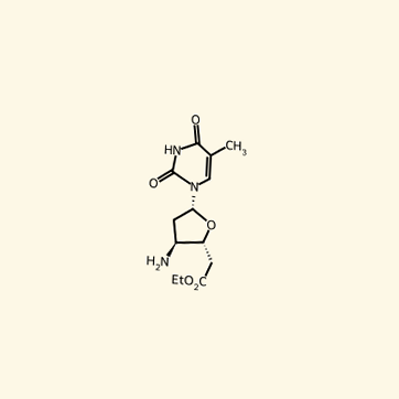 CCOC(=O)C[C@H]1O[C@@H](n2cc(C)c(=O)[nH]c2=O)C[C@@H]1N